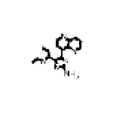 C=C/N=C(\C=C)c1nc(N)sc1-c1ccnc2cccnc12